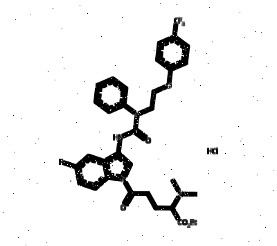 CCOC(=O)C(CCC(=O)n1cc(NC(=O)N(CCOc2ccc(C(F)(F)F)cc2)c2ccccc2)c2cc(F)ccc21)N(C)C.Cl